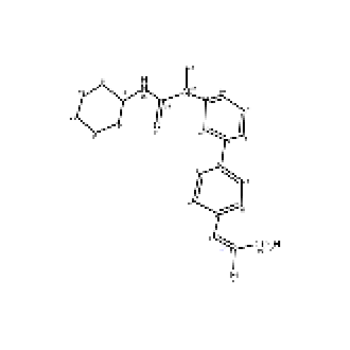 CC/C(=C/c1ccc(-c2cccc(N(C)C(=O)NC3CCCCC3)c2)cc1)C(=O)O